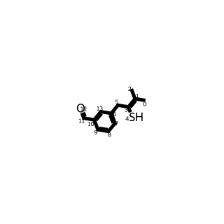 CC(C)=C(S)Cc1cccc(C=O)c1